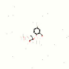 CCC(C)(Oc1ccc(Br)cc1C=O)C(=O)O